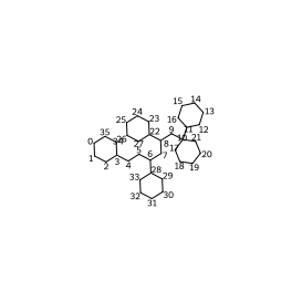 C1CCC(CCC(CC(CC2(C3CCCCC3)CCCCC2)C2CCCCC2)C2CCCCC2)CC1